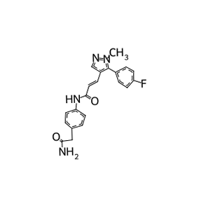 Cn1ncc(C=CC(=O)Nc2ccc(CC(N)=O)cc2)c1-c1ccc(F)cc1